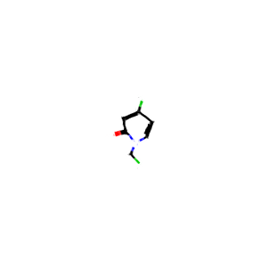 O=c1cc(Cl)ccn1CCl